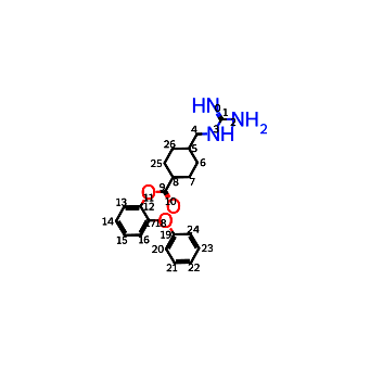 N=C(N)NCC1CCC(C(=O)Oc2ccccc2Oc2ccccc2)CC1